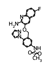 CS(=O)(=O)Nc1ccc(-n2cccn2)c(COc2cc3cc(F)ccc3nc2N)c1